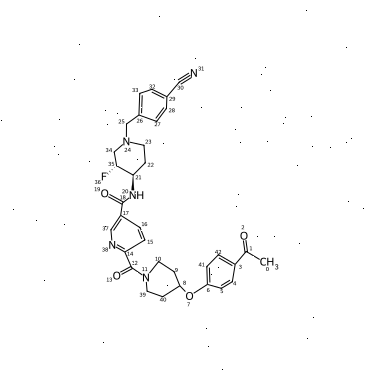 CC(=O)c1ccc(OC2CCN(C(=O)c3ccc(C(=O)N[C@@H]4CCN(Cc5ccc(C#N)cc5)C[C@H]4F)cn3)CC2)cc1